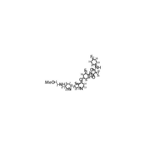 COCCNCc1ccc(-c2cc3nccc(Oc4ccc(NC(=O)C5(C(=O)Nc6ccc(F)cc6)CC5)c(F)c4)c3s2)nc1